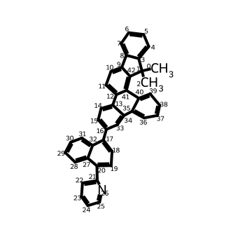 CC1(C)c2ccccc2-c2ccc3c4ccc(-c5ccc(-c6ccccn6)c6ccccc56)cc4c4ccccc4c3c21